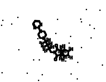 [2H]C1C([2H])[C@@H]2C[C@H]1[C@@H]1C(=O)N(CC([2H])([2H])C([2H])([2H])C([2H])([2H])N3CCN(c4ncccn4)CC3)C(=O)[C@@H]12